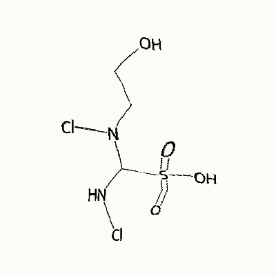 O=S(=O)(O)C(NCl)N(Cl)CCO